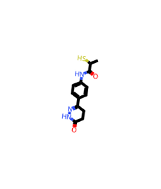 CC(S)C(=O)Nc1ccc(C2=NNC(=O)CC2)cc1